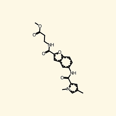 COC(=O)CCNC(=O)c1cc2cc(NC(=O)c3cc(C)cn3C)ccc2o1